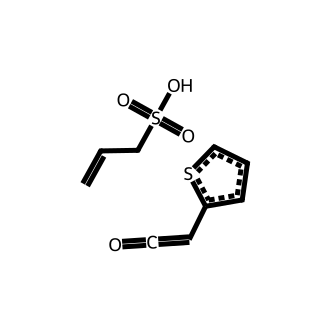 C=CCS(=O)(=O)O.O=C=Cc1cccs1